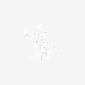 CCOC(=O)O[C@@H](C)CC(N)(Cc1ccc(OC(=O)OC)c(OC(=O)OC)c1)C(=O)O